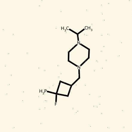 CC(C)N1CCN(CC2CC(F)(P)C2)CC1